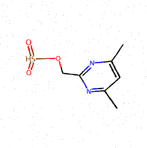 Cc1cc(C)nc(CO[SH](=O)=O)n1